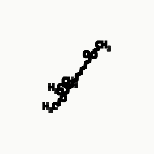 CCCOC(=O)CCCCCCCCCC(CC(=O)OCCC)C(C)C